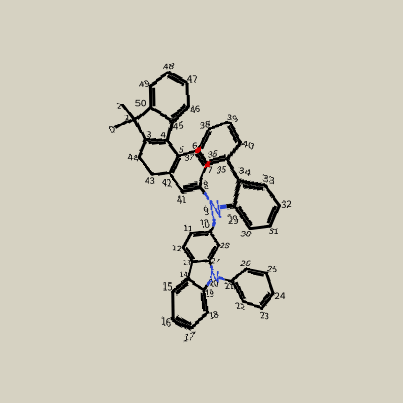 CC1(C)C2=C(c3ccc(N(c4ccc5c6ccccc6n(-c6ccccc6)c5c4)c4ccccc4-c4ccccc4)cc3CC2)c2ccccc21